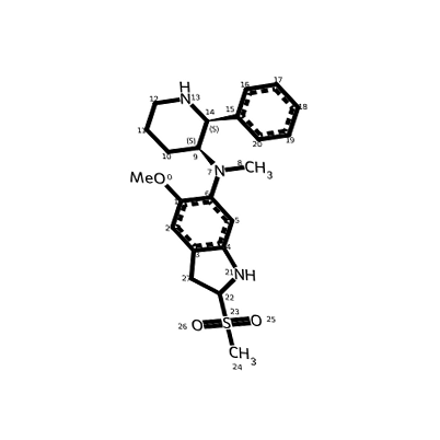 COc1cc2c(cc1N(C)[C@H]1CCCN[C@H]1c1ccccc1)NC(S(C)(=O)=O)C2